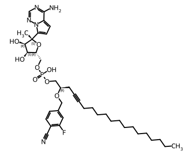 CCCCCCCCCCCCCCC#CC[C@H](COP(=O)(O)OC[C@H]1O[C@@](C)(c2ccc3c(N)ncnn23)[C@H](O)[C@@H]1O)OCc1ccc(C#N)c(F)c1